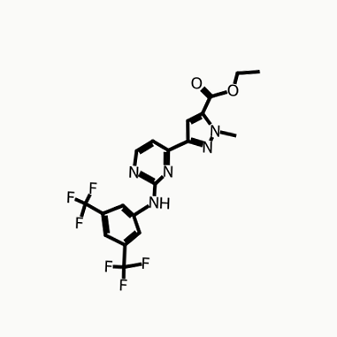 CCOC(=O)c1cc(-c2ccnc(Nc3cc(C(F)(F)F)cc(C(F)(F)F)c3)n2)nn1C